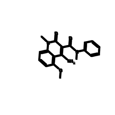 COc1cccc2c1c(N)c(C(=O)N(C)c1ccccc1)c(=O)n2C